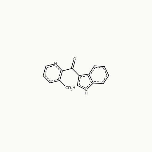 O=C(O)c1cccnc1C(=O)c1c[nH]c2ccccc12